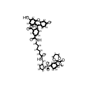 CN1C(=O)C2(OCCCO2)c2cc(S(=O)(=O)N3CCC[C@H]3CNC(=O)CCCCCNC(=O)c3ccc(-c4c5ccc(=O)cc-5oc5cc(O)ccc45)c(C(=O)O)c3)ccc21